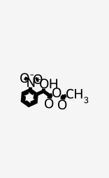 CC(=O)OC(=O)C(O)c1ccccc1[N+](=O)[O-]